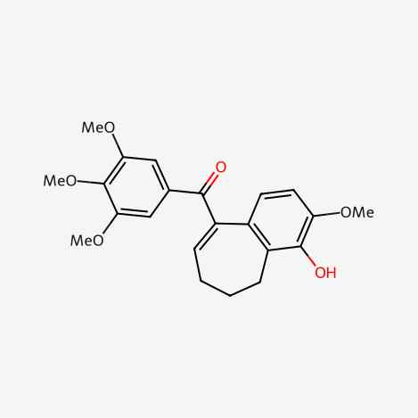 COc1ccc2c(c1O)CCCC=C2C(=O)c1cc(OC)c(OC)c(OC)c1